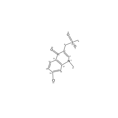 Cn1cc(CS(C)(=O)=O)c(=O)c2ccc(Cl)cc21